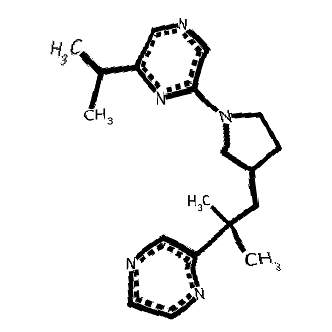 CC(C)c1cncc(N2CCC(CC(C)(C)c3cnccn3)C2)n1